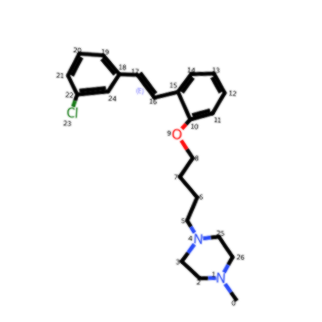 CN1CCN(CCCCOc2ccccc2/C=C/c2cccc(Cl)c2)CC1